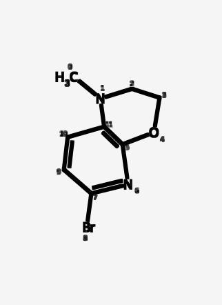 CN1CCOc2nc(Br)ccc21